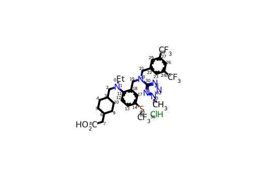 CCN(CC1CCC(CC(=O)O)CC1)c1ccc(SC(F)(F)F)cc1CN(Cc1cc(C(F)(F)F)cc(C(F)(F)F)c1)c1nnn(C)n1.Cl